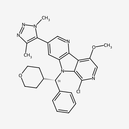 COc1cnc(Cl)c2c1c1ncc(-c3c(C)nnn3C)cc1n2[C@H](c1ccccc1)C1CCOCC1